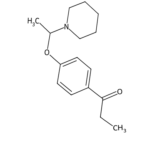 CCC(=O)c1ccc(OC(C)N2CCCCC2)cc1